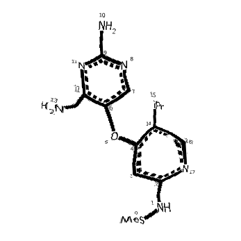 CSNc1cc(Oc2cnc(N)nc2N)c(C(C)C)cn1